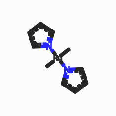 [CH3][Ru]([CH3])([n]1cccc1)[n]1cccc1